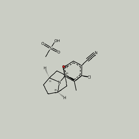 CS(=O)(=O)O.Cc1c(N2[C@@H]3CC[C@H]2C[C@](C)(O)C3)ccc(C#N)c1Cl